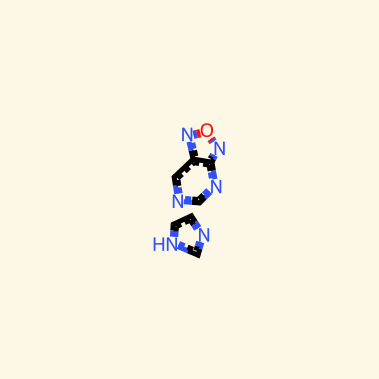 c1c[nH]cn1.c1ncc2nonc2n1